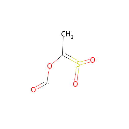 CC(O[C]=O)=S(=O)=O